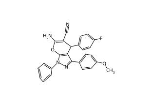 COc1ccc(-c2nn(-c3ccccc3)c3c2C(c2ccc(F)cc2)C(C#N)=C(N)O3)cc1